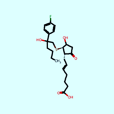 CCCCC(O)(CS[C@H]1C(O)CC(=O)[C@@H]1CC=CCCCC(=O)O)c1ccc(F)cc1